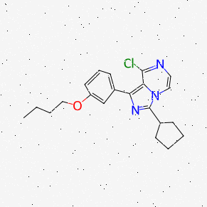 CCCCOc1cccc(-c2nc(C3CCCC3)n3ccnc(Cl)c23)c1